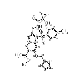 C=C(OCC)c1cc2cc(CNC(=O)C3(C)CC3)n(S(=O)(=O)c3ccc(C)cc3)c2cc1OCc1cscn1